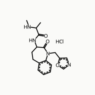 CNC(C)C(=O)NC1CCc2ccccc2N(Cc2cnco2)C1=O.Cl